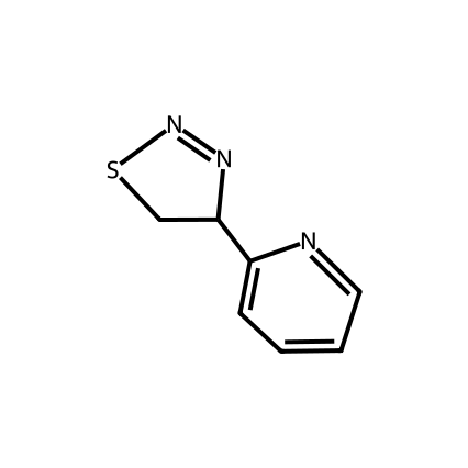 c1ccc(C2CSN=N2)nc1